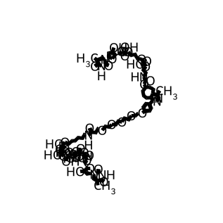 Cc1nnc(-c2ccc(OCCOCCOCCOCCOCCC(=O)NCCCCCCOP(=O)(O)OP(=O)(O)OP(=O)(O)OP(=O)(O)OP(=O)(O)OP(=O)(O)OC[C@H]3O[C@@H](n4cc(C)c(=O)[nH]c4=O)CC3O)cc2)c2c1CCC(OC(=O)NCCOP(=O)(O)OCCCOP(=O)(O)OC[C@H]1O[C@@H](n3cc(C)c(=O)[nH]c3=O)CC1O)CCC2